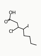 CCCCC(I)C(Cl)CC(=O)O